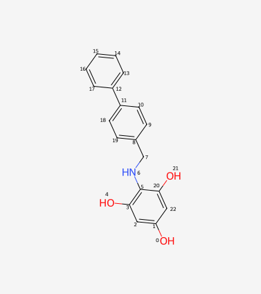 Oc1cc(O)c(NCc2ccc(-c3ccccc3)cc2)c(O)c1